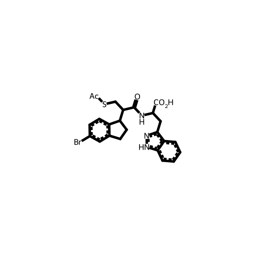 CC(=O)SCC(C(=O)NC(Cc1n[nH]c2ccccc12)C(=O)O)C1CCc2cc(Br)ccc21